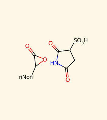 CCCCCCCCCC1OC1=O.O=C1CC(S(=O)(=O)O)C(=O)N1